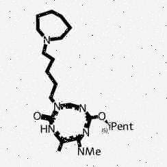 CCC[C@H](C)Oc1ncn(CCCCCN2CCCCCC2)c(=O)[nH]c(C)c(NC)n1